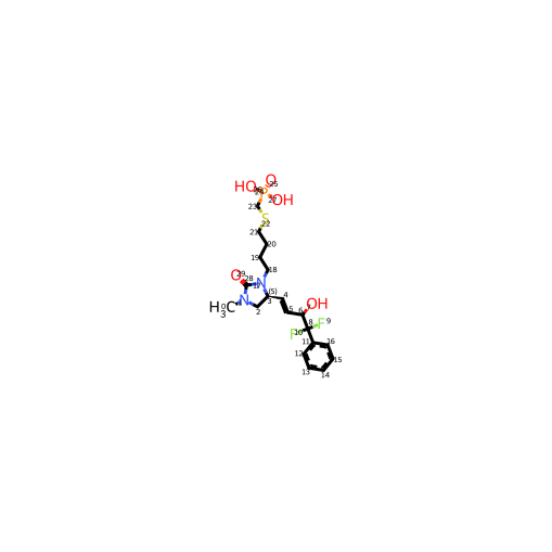 CN1C[C@H](C=CC(O)C(F)(F)c2ccccc2)N(CCCCSCP(=O)(O)O)C1=O